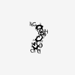 N#Cc1ccc(NS(=O)(=O)N2CCC(n3ncc(Cl)c(Cl)c3=O)CC2)nc1